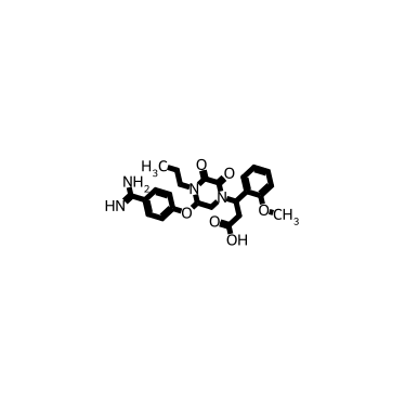 CCCN1C(=O)C(=O)N(C(CC(=O)O)c2ccccc2OC)CC1Oc1ccc(C(=N)N)cc1